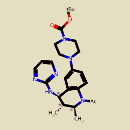 CC(=O)N1c2ccc(N3CCN(C(=O)OC(C)(C)C)CC3)cc2[C@H](Nc2ncccn2)[C@@H](C)[C@@H]1C